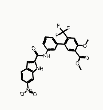 COC(=O)c1cc(-c2cccc(NC(=O)c3cc4ccc([N+](=O)[O-])cc4[nH]3)c2)c(C(F)(F)F)cc1OC